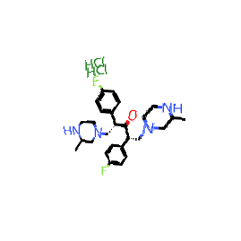 CC1CN(C[C@@H](C(=O)[C@H](CN2CCNC(C)C2)c2ccc(F)cc2)c2ccc(F)cc2)CCN1.Cl.Cl